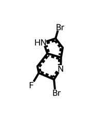 Fc1cc2[nH]c(Br)cc2nc1Br